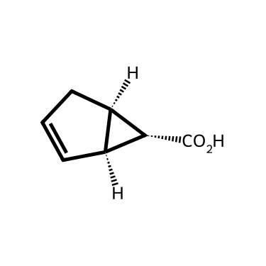 O=C(O)[C@@H]1[C@H]2C=CC[C@H]21